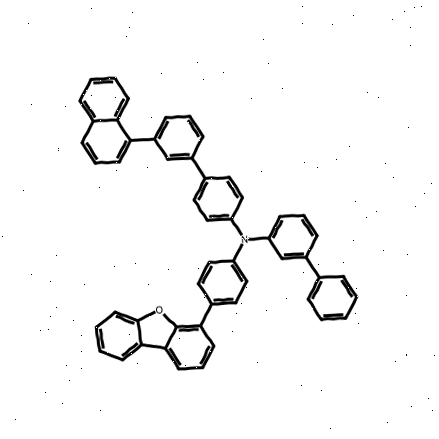 c1ccc(-c2cccc(N(c3ccc(-c4cccc(-c5cccc6ccccc56)c4)cc3)c3ccc(-c4cccc5c4oc4ccccc45)cc3)c2)cc1